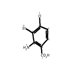 CCc1c(Cl)ccc(C(=O)O)c1N